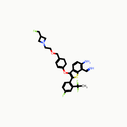 CC(F)(F)c1cc(F)ccc1-c1sc2c(C=N)c(N)ccc2c1OC1=CC=C(COCCN2CC(CF)C2)CC1